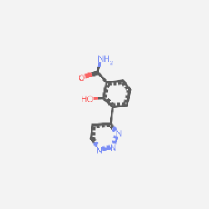 NC(=O)c1cccc(-c2ccnnn2)c1O